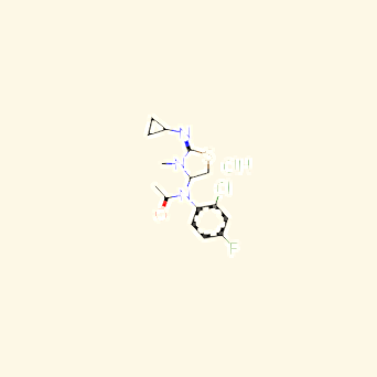 CC(=O)N(c1ccc(F)cc1Cl)C1CSC(=NC2CC2)N1C.Cl